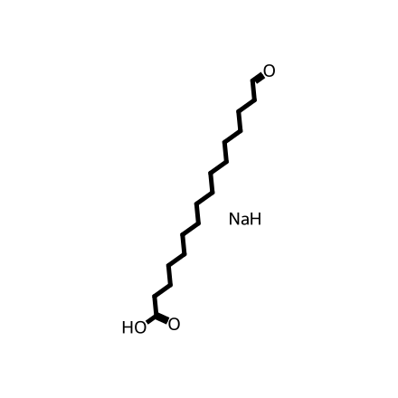 O=CCCCCCCCCCCCCCCC(=O)O.[NaH]